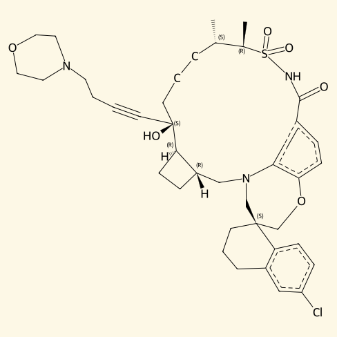 C[C@@H]1[C@@H](C)CCC[C@@](O)(C#CCCN2CCOCC2)[C@@H]2CC[C@H]2CN2C[C@@]3(CCCc4cc(Cl)ccc43)COc3ccc(cc32)C(=O)NS1(=O)=O